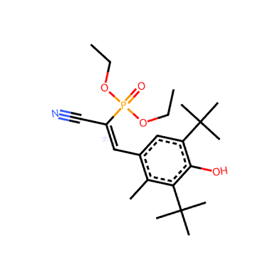 CCOP(=O)(OCC)/C(C#N)=C\c1cc(C(C)(C)C)c(O)c(C(C)(C)C)c1C